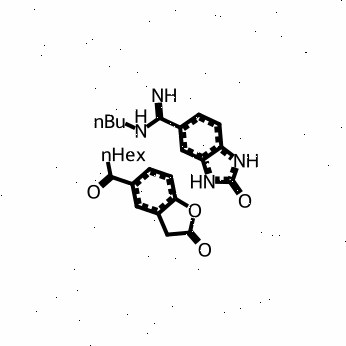 CCCCCCC(=O)c1ccc2c(c1)CC(=O)O2.CCCCNC(=N)c1ccc2[nH]c(=O)[nH]c2c1